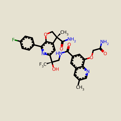 Cc1cnc2c(OCC(N)=O)cc(C(=O)NC[C@](O)(c3cc4c(c(-c5ccc(F)cc5)n3)OC[C@]4(C)C(N)=O)C(F)(F)F)cc2c1